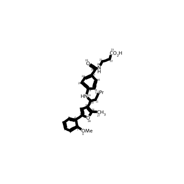 COc1ccccc1-c1cc(C(CC(C)C)Nc2ccc(C(=O)NCCC(=O)O)cc2)c(C)o1